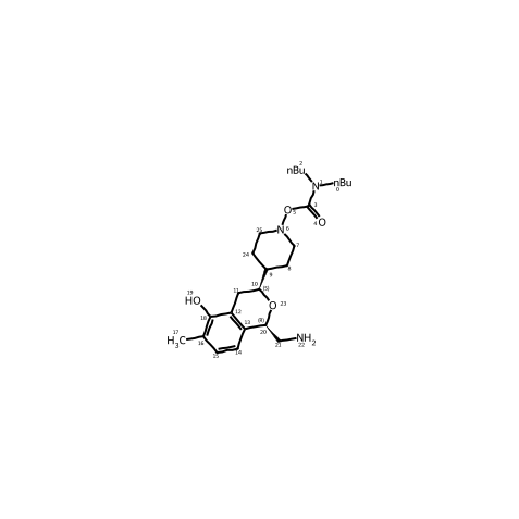 CCCCN(CCCC)C(=O)ON1CCC([C@@H]2Cc3c(ccc(C)c3O)[C@H](CN)O2)CC1